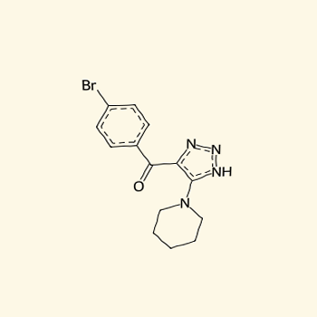 O=C(c1ccc(Br)cc1)c1nn[nH]c1N1CCCCC1